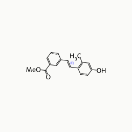 COC(=O)c1cccc(/C=C/c2ccc(O)cc2C)c1